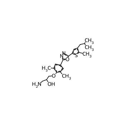 Cc1cc(-c2nnc(-c3cc(CC(C)C)c(C)s3)o2)cc(C)c1OCC(O)CN